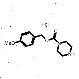 COc1ccc(COC(=O)N2CCNCC2)cc1.Cl